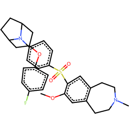 COc1cc2c(cc1S(=O)(=O)c1ccc(N3C4CCC3CC(Oc3ccc(F)cc3)C4)cc1)CCN(C)CC2